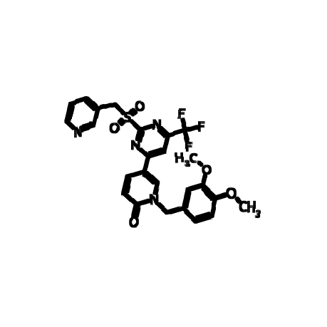 COc1ccc(Cn2cc(-c3cc(C(F)(F)F)nc(S(=O)(=O)Cc4cccnc4)n3)ccc2=O)cc1OC